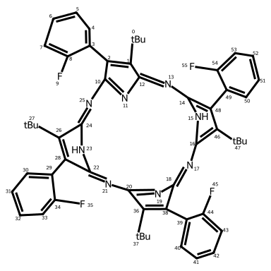 CC(C)(C)C1=C(c2ccccc2F)c2nc1nc1[nH]c(nc3nc(nc4[nH]c(n2)c(C(C)(C)C)c4-c2ccccc2F)C(C(C)(C)C)=C3c2ccccc2F)c(C(C)(C)C)c1-c1ccccc1F